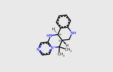 CC1(C)[C@H]2CNc3ccccc3[C@@H]2Nc2cncc[n+]21